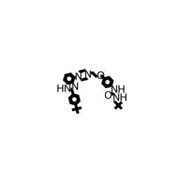 CC(C)(C)CNC(=O)Nc1ccc(OCCN2CCN(c3cccc4[nH]c(-c5ccc(C(C)(C)C)cc5)nc34)CC2)cc1